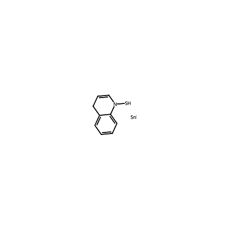 SN1C=CCc2ccccc21.[Sn]